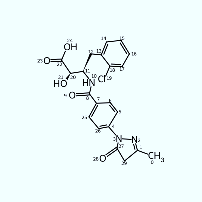 CC1=NN(c2ccc(C(=O)N[C@H](Cc3ccccc3Cl)[C@@H](O)C(=O)O)cc2)C(=O)C1